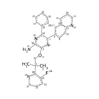 CC(C)(COc1nc(-c2ccc3ncccc3c2)c(-c2ccccc2)nc1N)c1ncccc1F